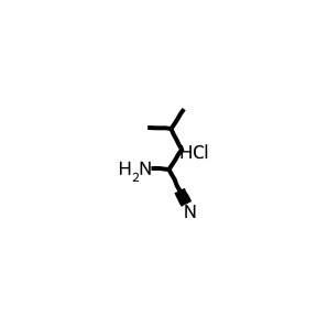 CC(C)CC(N)C#N.Cl